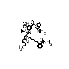 CCc1ccc2cc(-c3nc4cc(C(=O)N5CC(N)C6CCC5C6)cc(OC)c4n3C3CC3)n(CCCCCc3ccccc3C(N)=O)c2n1